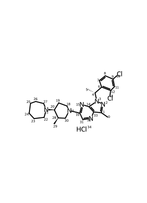 Cc1nn([C@H](C)c2ccc(Cl)cc2Cl)c2nc(N3CC[C@H](N4CCCCCC4)[C@H](C)C3)cnc12.Cl